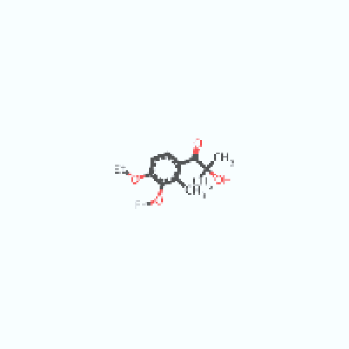 CCOc1ccc(C(=O)C(C)(C)O)c(C)c1OCC